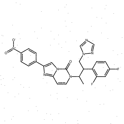 CC(C(Cn1cncn1)c1ccc(F)cc1F)n1ccc2nc(-c3ccc([N+](=O)[O-])cc3)cn2c1=O